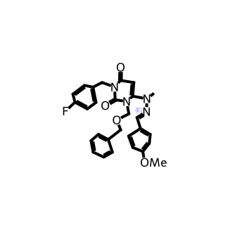 COc1ccc(/C=N/N(C)c2cc(=O)n(Cc3ccc(F)cc3)c(=O)n2COCc2ccccc2)cc1